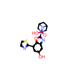 O=C(O)N1C2CC1CN(c1nc3cc(O)cc(-c4nccs4)c3o1)C2